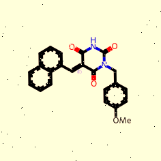 COc1ccc(CN2C(=O)NC(=O)/C(=C\c3cccc4ccccc34)C2=O)cc1